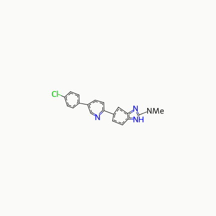 CNc1nc2cc(-c3ccc(-c4ccc(Cl)cc4)cn3)ccc2[nH]1